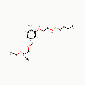 CCO[C@H](C)COCc1ccc(Br)c(OCCOSCCC[SiH3])c1